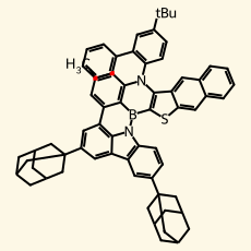 Cc1cc2c3c(c1)N(c1ccc(C(C)(C)C)cc1-c1ccccc1)c1c(sc4cc5ccccc5cc14)B3n1c3ccc(C45CC6CC(CC(C6)C4)C5)cc3c3cc(C45CC6CC(CC(C6)C4)C5)cc-2c31